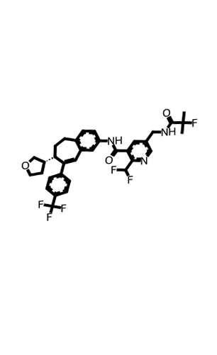 CC(C)(F)C(=O)NCc1cnc(C(F)F)c(C(=O)Nc2ccc3c(c2)C=C(c2ccc(C(F)(F)F)cc2)C([C@@H]2CCOC2)CC3)c1